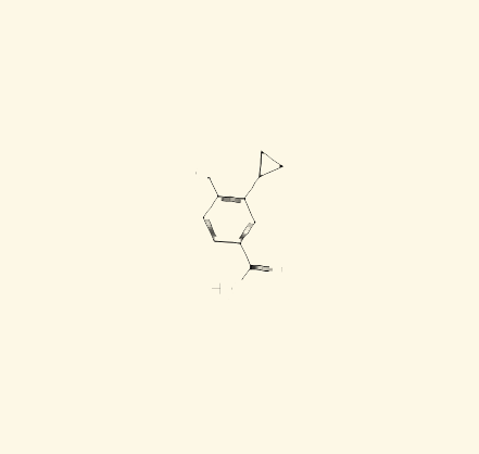 CC(=O)c1ccc(Cl)c(C2CC2)c1